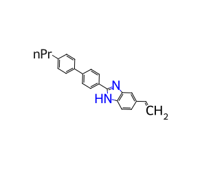 C=Cc1ccc2[nH]c(-c3ccc(-c4ccc(CCC)cc4)cc3)nc2c1